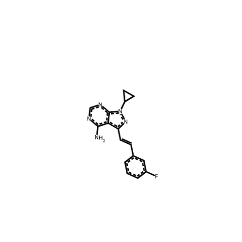 Nc1ncnc2c1c(/C=C/c1cccc(F)c1)nn2C1CC1